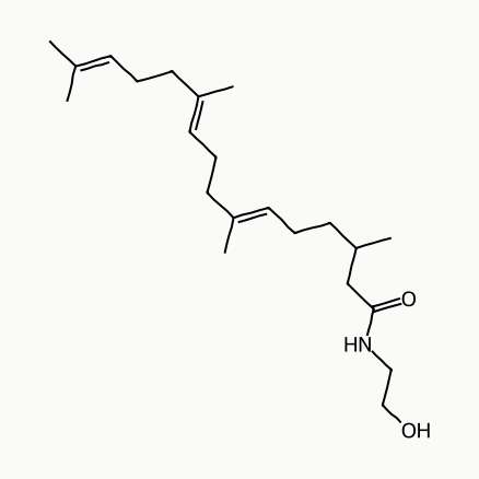 CC(C)=CCCC(C)=CCCC(C)=CCCC(C)CC(=O)NCCO